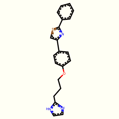 c1ccc(-c2nc(-c3ccc(OCCCc4ncc[nH]4)cc3)cs2)cc1